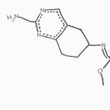 CO/C=N\C1CCc2nc(N)ncc2C1